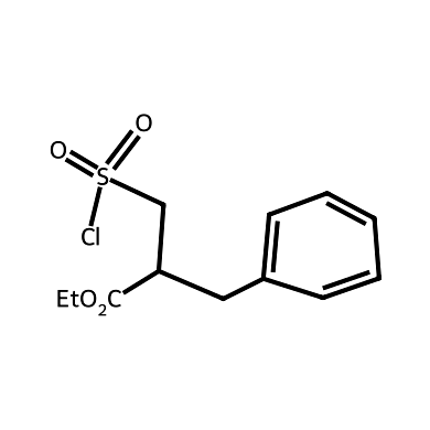 CCOC(=O)C(Cc1ccccc1)CS(=O)(=O)Cl